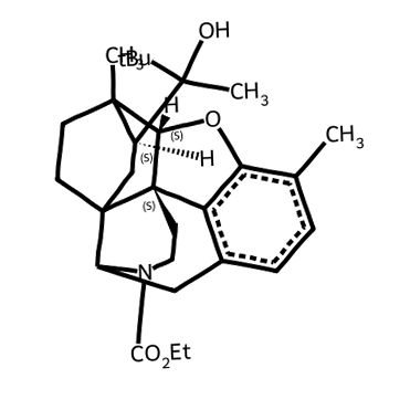 CCOC(=O)N1CC[C@]23c4c5ccc(C)c4O[C@H]2C2(C)CCC3(C[C@@H]2C(C)(O)C(C)(C)C)C1C5